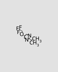 CC(C)c1ncc(OCC(F)(F)F)cn1